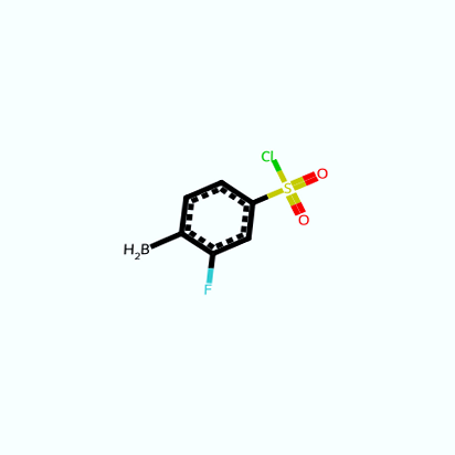 Bc1ccc(S(=O)(=O)Cl)cc1F